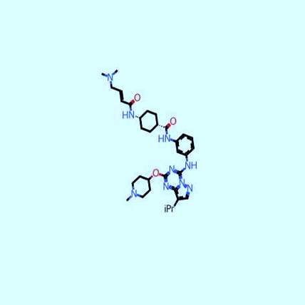 CC(C)c1cnn2c(Nc3cccc(NC(=O)[C@H]4CC[C@@H](NC(=O)/C=C/CN(C)C)CC4)c3)nc(OC3CCN(C)CC3)nc12